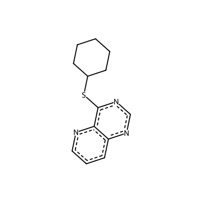 c1cnc2c(SC3CCCCC3)ncnc2c1